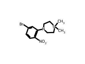 C[Si]1(C)CCN(c2cc(Br)ccc2[N+](=O)[O-])CC1